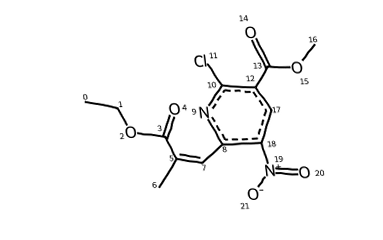 CCOC(=O)C(C)=Cc1nc(Cl)c(C(=O)OC)cc1[N+](=O)[O-]